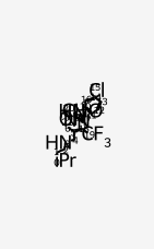 CC(C)CCNCc1cnc(Nc2cccc(Cl)c2)nc1C(F)(F)F.O=CO